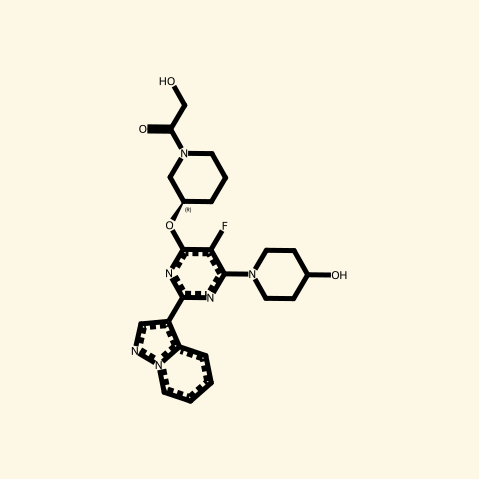 O=C(CO)N1CCC[C@@H](Oc2nc(-c3cnn4ccccc34)nc(N3CCC(O)CC3)c2F)C1